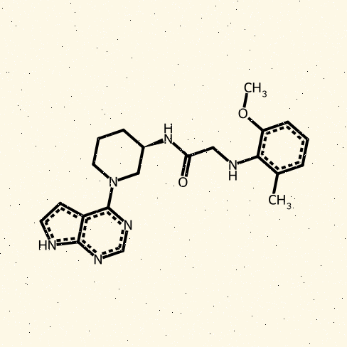 COc1cccc(C)c1NCC(=O)N[C@@H]1CCCN(c2ncnc3[nH]ccc23)C1